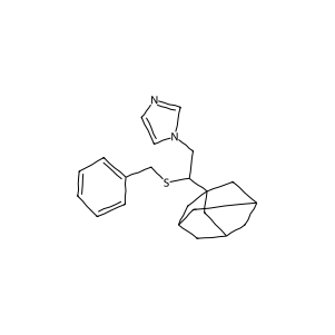 c1ccc(CSC(Cn2ccnc2)C23CC4CC(CC(C4)C2)C3)cc1